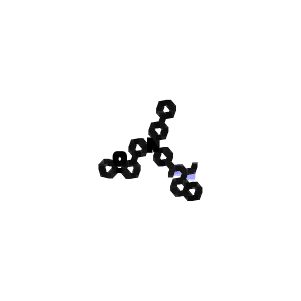 C/C=C(\C=C(/C)c1ccc(N(c2ccc(-c3ccccc3)cc2)c2cccc(-c3cccc4c3oc3ccccc34)c2)cc1)c1cccc2ccccc12